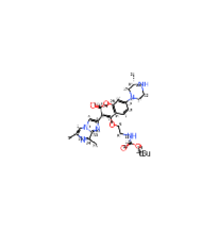 Cc1cn2cc(-c3c(OCCNC(=O)OC(C)(C)C)c4ccc(N5CCN[C@@H](C)C5)cc4oc3=O)nc2c(C)n1